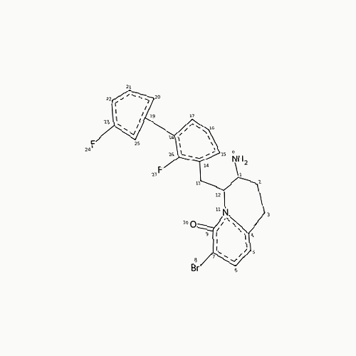 NC1CCc2ccc(Br)c(=O)n2C1Cc1cccc(-c2cccc(F)c2)c1F